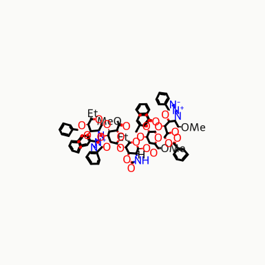 CCC1O[C@@H](O[C@H]2C(C(=O)OC)O[C@@H](O[C@@H]3C(COC(=O)c4ccccc4)O[C@H](OC)[C@@H](N=[N+]=[N-])C3OCc3ccccc3)C(OC(=O)c3ccccc3)[C@@H]2OCc2ccccc2)[C@H]2NC(=O)OC2[C@@H]1O[C@@H]1OC(C(=O)OC)[C@@H](O[C@H]2OC(CC)[C@@H](OCc3ccccc3)[C@H](OCc3ccccc3)C2N=[N+]=[N-])[C@H](OCc2ccccc2)C1OCc1ccccc1